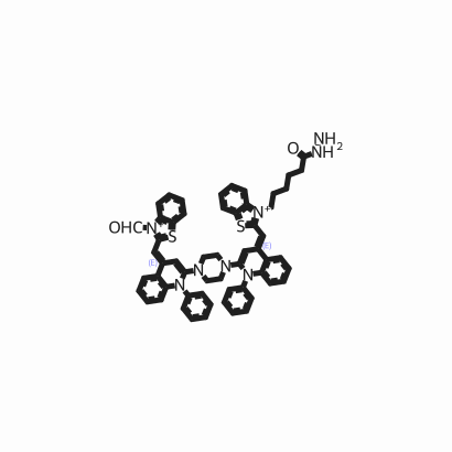 NNC(=O)CCCCC[n+]1c(/C=C2\C=C(N3CCN(C4=C/C(=C\c5sc6ccccc6[n+]5C=O)c5ccccc5N4c4ccccc4)CC3)N(c3ccccc3)c3ccccc32)sc2ccccc21